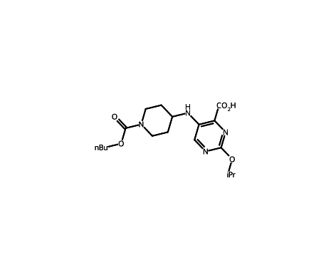 CCCCOC(=O)N1CCC(Nc2cnc(OC(C)C)nc2C(=O)O)CC1